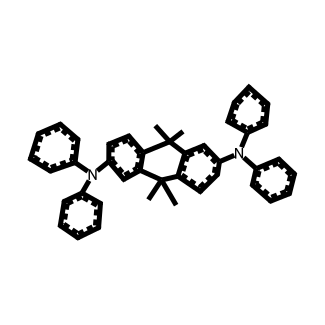 CC1(C)c2ccc(N(c3ccccc3)c3ccccc3)cc2C(C)(C)c2ccc(N(c3ccccc3)c3ccccc3)cc21